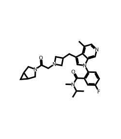 Cc1cncc2c1c(CC1CN(CC(=O)N3CC4CC4C3)C1)cn2-c1ccc(F)cc1C(=O)N(C)C(C)C